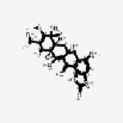 CC1(N)C(O)=C(C(N)=O)C(=O)[C@@]2(O)C(O)=C3C(=O)c4c(c(N)cc5[nH]c(=O)oc45)C[C@H]3C[C@@H]12